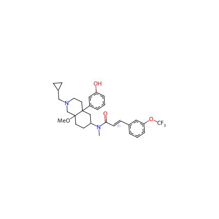 COC12CCC(N(C)C(=O)/C=C/c3cccc(OC(F)(F)F)c3)CC1(c1cccc(O)c1)CCN(CC1CC1)C2